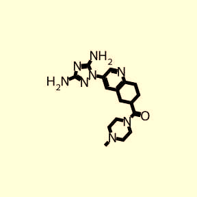 CN1CCN(C(=O)C2CCc3ncc(-n4nc(N)nc4N)cc3C2)CC1